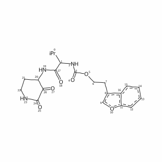 CC(C)C(NC(=O)OCCc1coc2ccccc12)C(=O)NC1CCNC(=O)C1=O